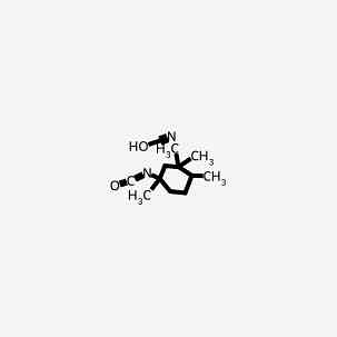 CC1CCC(C)(N=C=O)CC1(C)C.N#CO